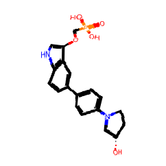 O=P(O)(O)COc1c[nH]c2ccc(-c3ccc(N4CC[C@H](O)C4)cc3)cc12